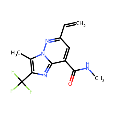 C=Cc1cc(C(=O)NC)c2nc(C(F)(F)F)c(C)n2n1